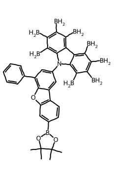 Bc1c(B)c(B)c2c(c1B)c1c(B)c(B)c(B)c(B)c1n2-c1cc(-c2ccccc2)c2oc3cc(B4OC(C)(C)C(C)(C)O4)ccc3c2c1